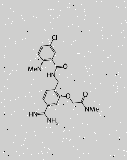 CNC(=O)COc1cc(C(=N)N)ccc1CNC(=O)c1cc(Cl)ccc1NC